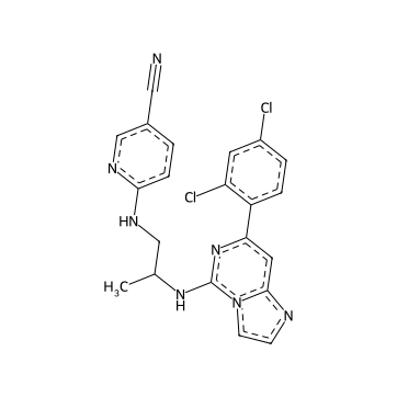 CC(CNc1ccc(C#N)cn1)Nc1nc(-c2ccc(Cl)cc2Cl)cc2nccn12